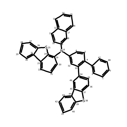 c1ccc(-c2ccc(N(c3ccc4ccccc4c3)c3cccc4c3sc3ccccc34)cc2-c2ccc3sc4ccccc4c3c2)cc1